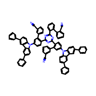 N#Cc1cccc(-c2cc(-n3c4ccc(-c5ccccc5)cc4c4cc(-c5ccccc5)ccc43)ccc2-c2nc(-c3ccc(-n4c5ccc(-c6ccccc6)cc5c5cc(-c6ccccc6)ccc54)cc3-c3cccc(C#N)c3)nc(-c3ccccc3-c3ccccc3C#N)n2)c1